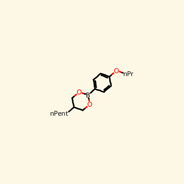 CCCCCC1COB(c2ccc(OCCC)cc2)OC1